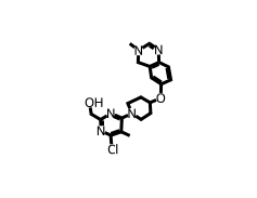 Cc1c(Cl)nc(CO)nc1N1CCC(Oc2ccc3c(c2)CN(C)C=N3)CC1